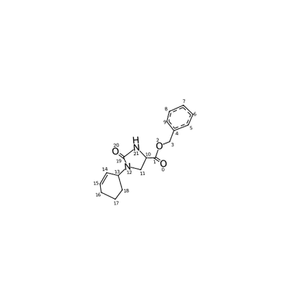 O=C(OCc1ccccc1)C1CN(C2C=CCCC2)C(=O)N1